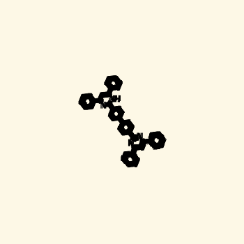 C1=C(c2ccccc2)NC(c2ccc(-c3ccc(-c4nc(-c5ccccc5)cc(-c5ccccc5)n4)cc3)cc2)N=C1c1ccccc1